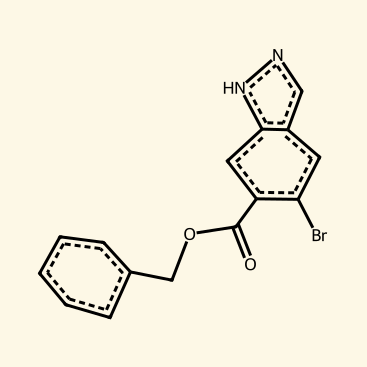 O=C(OCc1ccccc1)c1cc2[nH]ncc2cc1Br